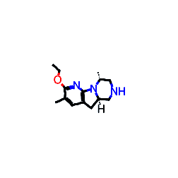 CCOc1nc2c(cc1C)C[C@@H]1CNC[C@@H](C)N21